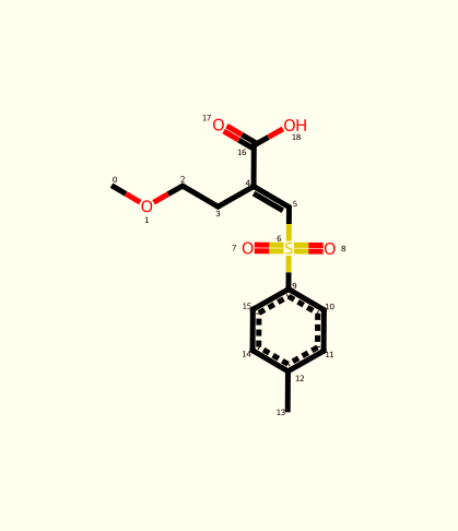 COCC/C(=C\S(=O)(=O)c1ccc(C)cc1)C(=O)O